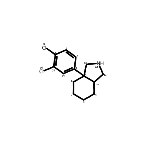 Clc1ccc(C23CCCCC2CNC3)cc1Cl